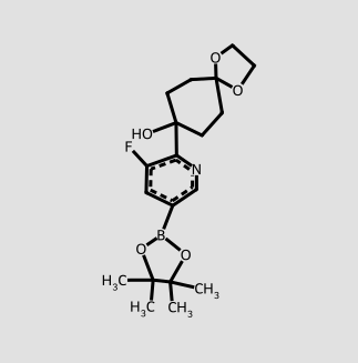 CC1(C)OB(c2cnc(C3(O)CCC4(CC3)OCCO4)c(F)c2)OC1(C)C